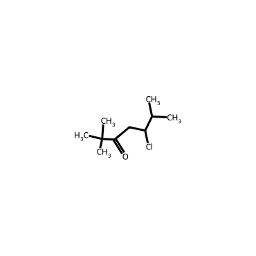 CC(C)C(Cl)CC(=O)C(C)(C)C